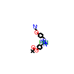 CN(C)CCOc1ccc(Cn2nnc(-c3ccc(OC(=O)C(C)(C)C)cc3)n2)cc1.Cl